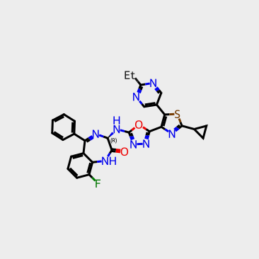 CCc1ncc(-c2sc(C3CC3)nc2-c2nnc(N[C@@H]3N=C(c4ccccc4)c4cccc(F)c4NC3=O)o2)cn1